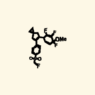 COC1(F)C=CC(C2=C(c3ccc(S(=O)(=O)CF)cc3)CC3(CC3)C2)C(F)=C1F